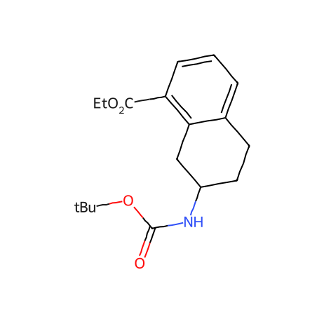 CCOC(=O)c1cccc2c1CC(NC(=O)OC(C)(C)C)CC2